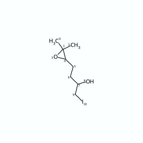 CC1(C)OC1CCC(O)CI